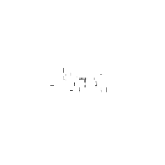 Cc1cc2oc(C(C)(C)O)nc2cc1F